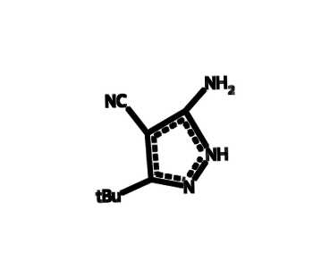 CC(C)(C)c1n[nH]c(N)c1C#N